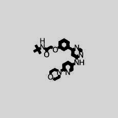 CC(C)(C)NC(=O)COc1cccc(-c2cc(Nc3ccc(N4CCOCC4)nc3)ncn2)c1